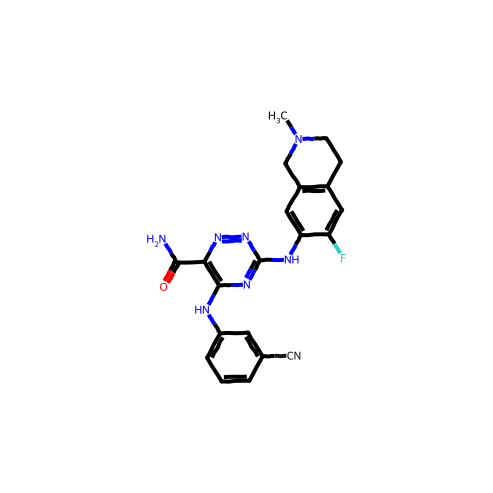 CN1CCc2cc(F)c(Nc3nnc(C(N)=O)c(Nc4cccc(C#N)c4)n3)cc2C1